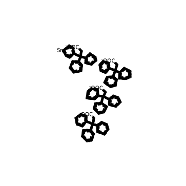 O=C([O-])CC(c1ccccc1)(c1ccccc1)c1ccccc1.O=C([O-])CC(c1ccccc1)(c1ccccc1)c1ccccc1.O=C([O-])CC(c1ccccc1)(c1ccccc1)c1ccccc1.O=C([O-])CC(c1ccccc1)(c1ccccc1)c1ccccc1.[Sn+4]